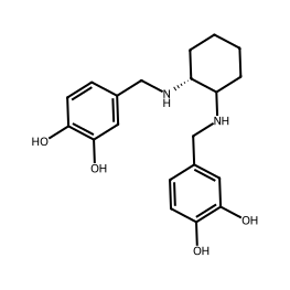 Oc1ccc(CNC2CCCC[C@H]2NCc2ccc(O)c(O)c2)cc1O